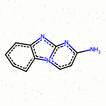 Nc1ccn2c(n1)nc1ccccc12